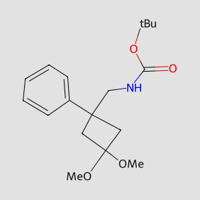 COC1(OC)CC(CNC(=O)OC(C)(C)C)(c2ccccc2)C1